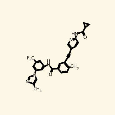 Cc1cn(-c2cc(NC(=O)c3ccc(C)c(C#Cc4ccc(NC(=O)C5CC5)nc4)c3)cc(C(F)(F)F)c2)cn1